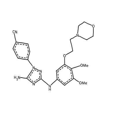 COc1cc(Nc2nc(N)n(-c3ccc(C#N)cc3)n2)cc(OCCN2CCOCC2)c1OC